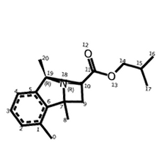 Cc1cccc2c1C1(C)CC3(C(=O)OCC(C)C)[N@]1[C@]23C